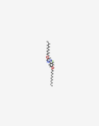 CCCCCCCCCCCCOc1ccc(-c2ncc(OCCCCCCCCCC)cn2)c(F)c1